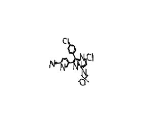 COC1(C)CN(c2cc(Cl)nc3c(-c4ccc(Cl)cc4)c(-c4ccc(C#N)nc4)nn23)C1